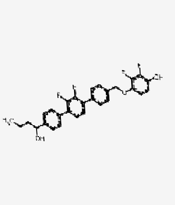 CCCC(O)c1ccc(-c2ccc(-c3ccc(COc4ccc(O)c(F)c4F)cc3)c(F)c2F)cc1